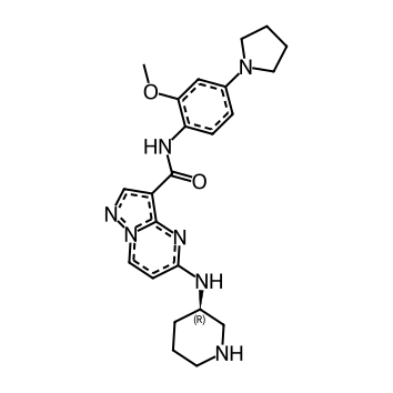 COc1cc(N2CCCC2)ccc1NC(=O)c1cnn2ccc(N[C@@H]3CCCNC3)nc12